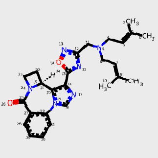 CC(C)=CCN(CC=C(C)C)Cc1noc(-c2ncn3c2[C@@H]2CCN2C(=O)c2ccccc2-3)n1